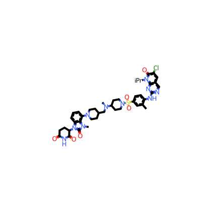 Cc1cc(S(=O)(=O)N2CCC(N(C)CC3CCN(c4cccc5c4n(C)c(=O)n5C4CCC(=O)NC4=O)CC3)CC2)ccc1Nc1ncc2cc(Cl)c(=O)n(C(C)C)c2n1